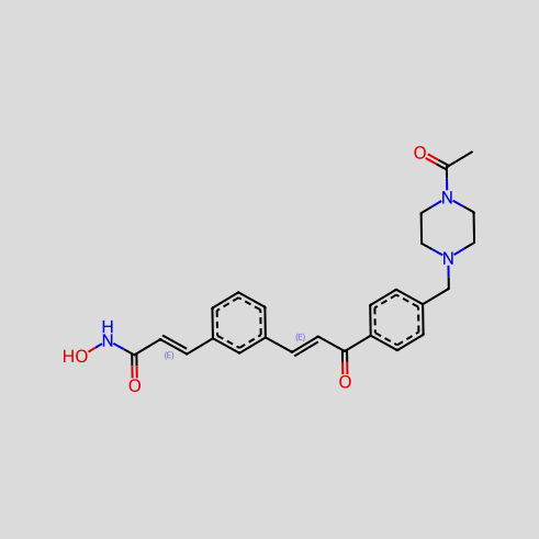 CC(=O)N1CCN(Cc2ccc(C(=O)/C=C/c3cccc(/C=C/C(=O)NO)c3)cc2)CC1